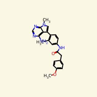 COc1ccc(CC(=O)Nc2ccc(-c3cn(C)c4ncnc(N)c34)c(C)c2)cc1